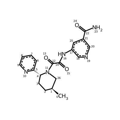 C[C@H]1CC[C@H](c2ccccn2)N(C(=O)C(=O)Nc2cncc(C(N)=O)c2)C1